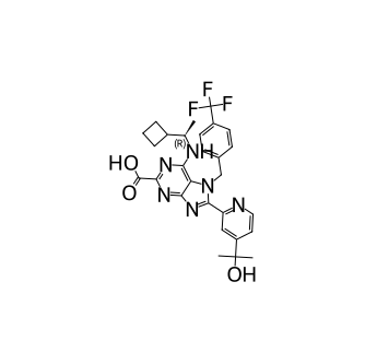 C[C@@H](Nc1nc(C(=O)O)nc2nc(-c3cc(C(C)(C)O)ccn3)n(Cc3ccc(C(F)(F)F)cc3)c12)C1CCC1